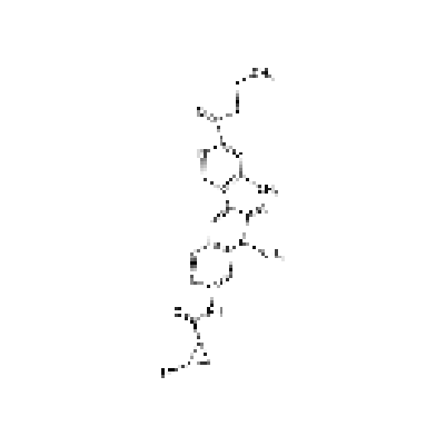 CCCC(=O)c1cc(C)c(-c2cc3cnc(NC(=O)[C@H]4C[C@H]4F)cc3n(C)c2=O)cn1